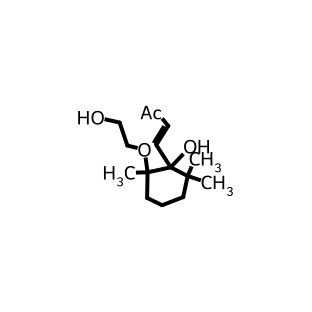 CC(=O)/C=C/C1(O)C(C)(C)CCCC1(C)OCCO